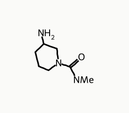 CNC(=O)N1CCCC(N)C1